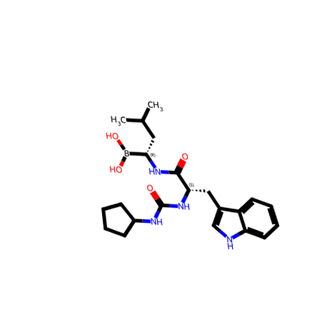 CC(C)C[C@H](NC(=O)[C@H](Cc1c[nH]c2ccccc12)NC(=O)NC1CCCC1)B(O)O